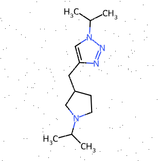 CC(C)N1CCC(Cc2cn(C(C)C)nn2)C1